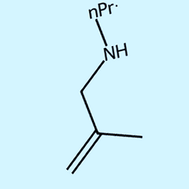 C=C(C)CN[CH]CC